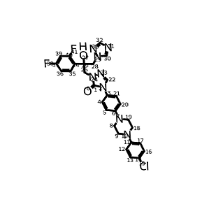 O=c1n(-c2ccc(N3CCN(c4ccc(Cl)cc4)CC3)cc2)cnn1CC(O)(Cn1cncn1)c1ccc(F)cc1F